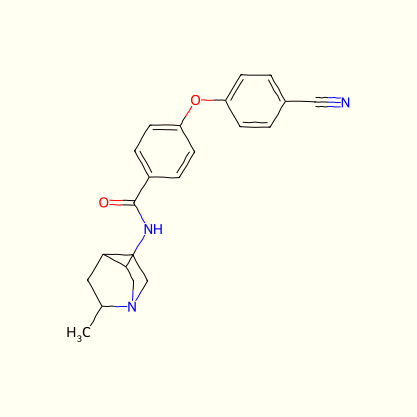 CC1CC2CCN1CC2NC(=O)c1ccc(Oc2ccc(C#N)cc2)cc1